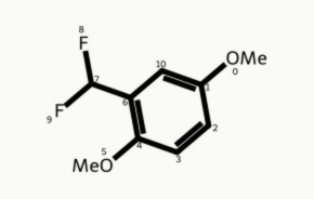 COc1ccc(OC)c(C(F)F)c1